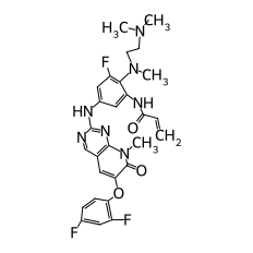 C=CC(=O)Nc1cc(Nc2ncc3cc(Oc4ccc(F)cc4F)c(=O)n(C)c3n2)cc(F)c1N(C)CCN(C)C